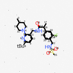 CC1CCN(c2nc(C(C)(C)C)ccc2CNC(=O)C(C)c2ccc(CNS(C)(=O)=O)c(F)c2)CC1